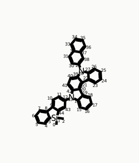 C[Si]1(C)c2ccccc2-c2ccc(-n3c4ccccc4c4c5c6ccccc6n(-c6ccc7ccccc7c6)c5ccc43)cc21